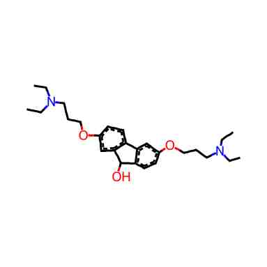 CCN(CC)CCCOc1ccc2c(c1)-c1ccc(OCCCN(CC)CC)cc1C2O